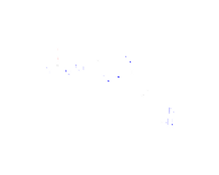 C/C(=N\NC(N)=O)c1ccc2ncc(Cc3cc4cnn(C)c4cc3F)n2n1